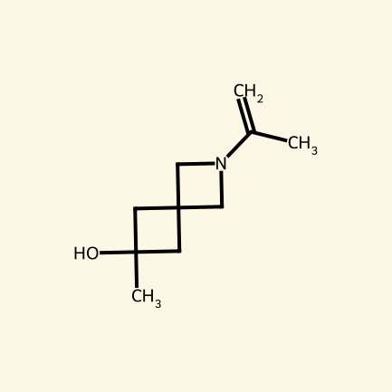 C=C(C)N1CC2(C1)CC(C)(O)C2